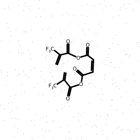 C=C(C(=O)OC(=O)/C=C\C(=O)OC(=O)C(=C)C(F)(F)F)C(F)(F)F